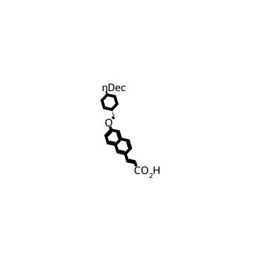 CCCCCCCCCC[C@H]1CC[C@H](COc2ccc3cc(/C=C/C(=O)O)ccc3c2)CC1